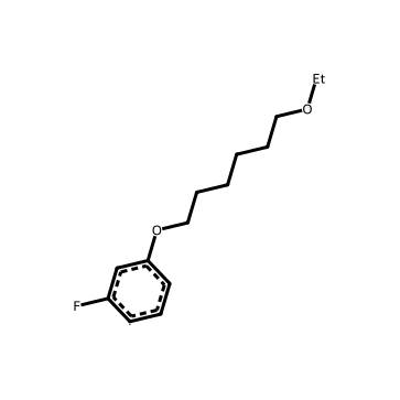 CCOCCCCCCOc1cc[c]c(F)c1